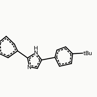 CC(C)(C)c1ccc(-c2cnc(-c3cc[c]cc3)[nH]2)cc1